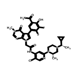 C[C@@H](C1CC1)N1CCN(c2cc(NC(=O)Cn3cc(-c4cc(C(N)=O)c(O)c(F)c4F)c4c(=O)n(C)cnc43)c(Cl)cn2)[C@@H](C)C1